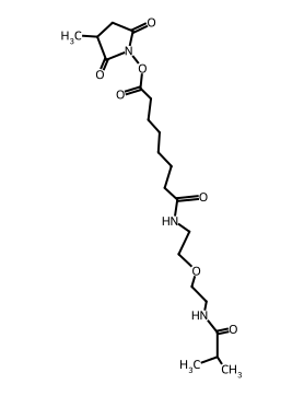 CC(C)C(=O)NCCOCCNC(=O)CCCCCCC(=O)ON1C(=O)CC(C)C1=O